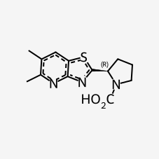 Cc1cc2sc([C@H]3CCCN3C(=O)O)nc2nc1C